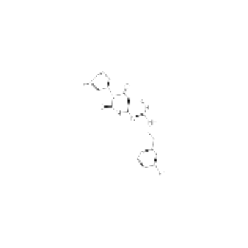 O=c1[nH]c2nc(NCCc3cccc(Br)c3)ncc2c(=O)n1-c1cccc(F)c1